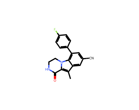 Cc1c2n(c3c(-c4ccc(F)cc4)cc(C#N)cc13)CCNC2=O